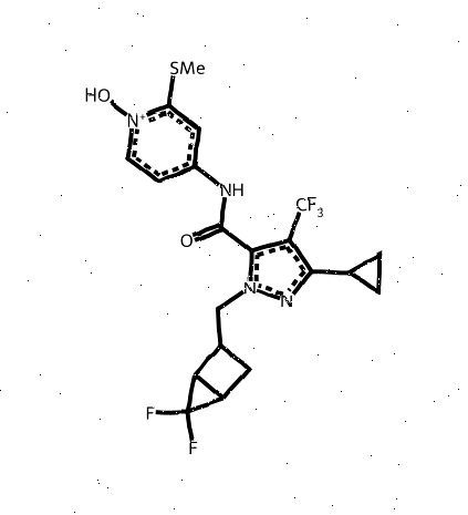 CSc1cc(NC(=O)c2c(C(F)(F)F)c(C3CC3)nn2CC2CC3C2C3(F)F)cc[n+]1O